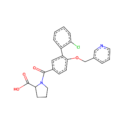 O=C(O)C1CCCN1C(=O)c1ccc(OCc2cccnc2)c(-c2ccccc2Cl)c1